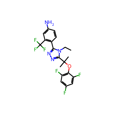 CCn1c(-c2ccc(N)cc2C(F)(F)F)nnc1C(C)(C)Oc1c(F)cc(F)cc1F